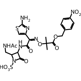 CC(=O)NCC1C(NC(=O)/C(=N\OC(C)(C)C(=O)OCc2ccc([N+](=O)[O-])cc2)c2csc(N)n2)C(=O)N1S(=O)(=O)O